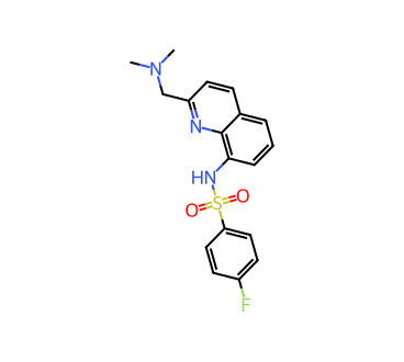 CN(C)Cc1ccc2cccc(NS(=O)(=O)c3ccc(F)cc3)c2n1